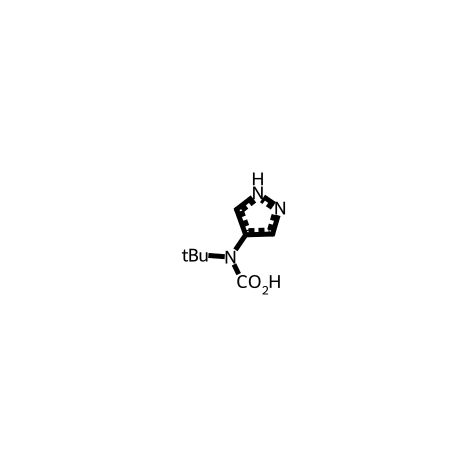 CC(C)(C)N(C(=O)O)c1cn[nH]c1